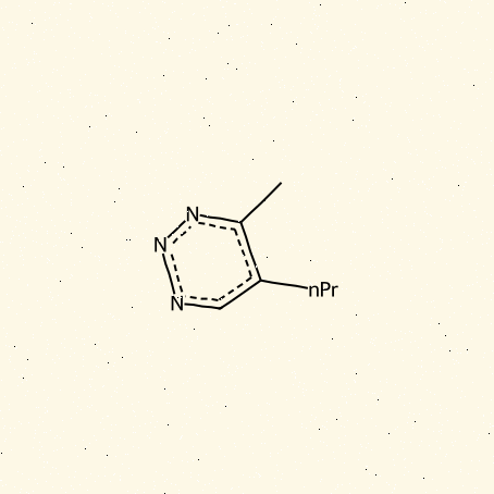 CCCc1cnnnc1C